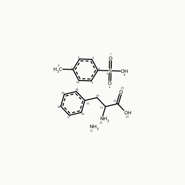 Cc1ccc(S(=O)(=O)O)cc1.N.NC(Cc1ccccc1)C(=O)O